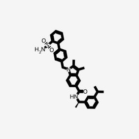 Cc1c(C)n(Cc2ccc(-c3ccccc3S(N)(=O)=O)cc2)c2ccc(C(=O)N[C@H](C)c3cccc(C(C)C)c3)cc12